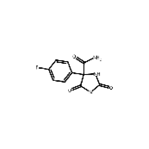 NC(=O)C1(c2ccc(F)cc2)NC(=O)[N]C1=O